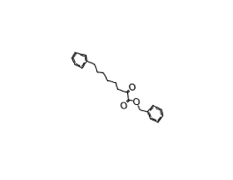 O=C(CCCCCCc1ccccc1)C(=O)OCc1ccccc1